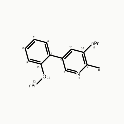 [CH2]c1ncc(-c2ccccc2OCCC)cc1CCC